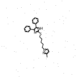 Cc1ccn(CCCCCSc2nc(-c3ccccc3)c(-c3ccccc3)[nH]2)n1